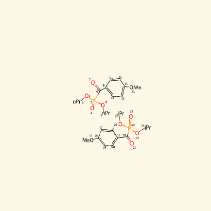 CCCOP(=O)(OCCC)C(=O)c1ccc(OC)cc1.COc1ccc(C(=O)P(=O)(OC(C)C)OC(C)C)cc1